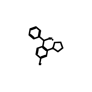 NC(c1ccccc1)c1ccc(Br)cc1N1CCCC1